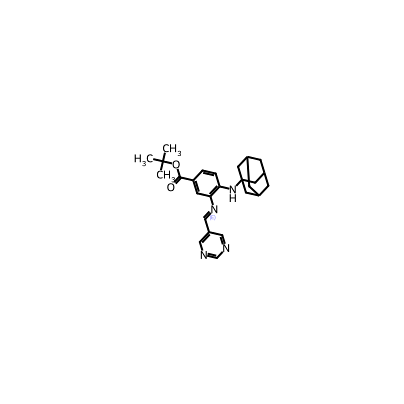 CC(C)(C)OC(=O)c1ccc(NC23CC4CC(CC(C4)C2)C3)c(/N=C/c2cncnc2)c1